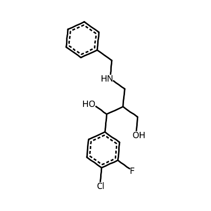 OCC(CNCc1ccccc1)C(O)c1ccc(Cl)c(F)c1